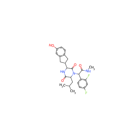 CNC(=O)C(c1ccc(F)cc1F)N1C(=O)C(C2Cc3ccc(O)cc3C2)NC(=O)C1CC(C)C